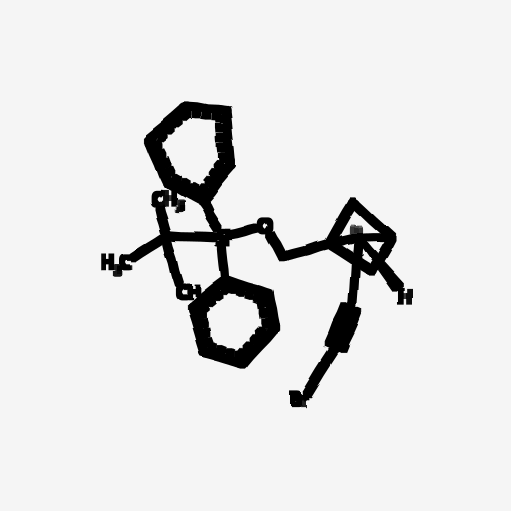 CC(C)(C)[Si](OCC12CC(C1)[C@@H]2C#CBr)(c1ccccc1)c1ccccc1